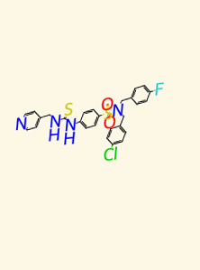 O=S(=O)(c1ccc(NC(=S)NCc2ccncc2)cc1)N(Cc1ccc(F)cc1)Cc1ccc(Cl)cc1